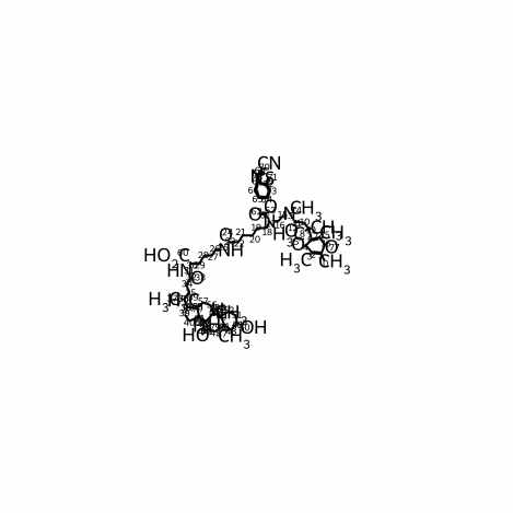 CC1=C(C)C(=O)C(C(C)(C)CC(=O)N(C)CCN(CCCCCC(=O)NCCCCC(NC(=O)CC[C@@H](C)[C@H]2CC[C@H]3[C@@H]4[C@H](O)C[C@]5(C)C[C@H](O)CC[C@]5(C)[C@H]4CC[C@]23C)C(=O)O)C(=O)Oc2ccc3nc(C#N)sc3c2)=C(C)C1=O